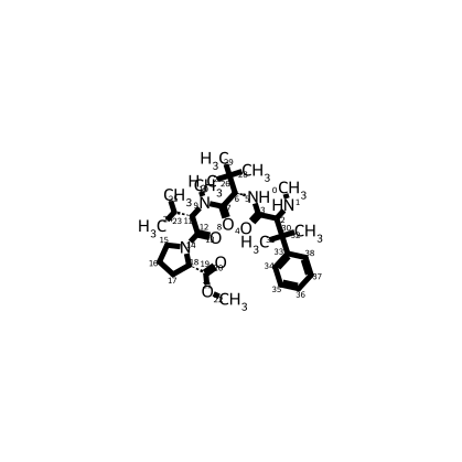 CNC(C(=O)N[C@H](C(=O)N(C)[C@H](C(=O)N1CCC[C@H]1C(=O)OC)C(C)C)C(C)(C)C)C(C)(C)c1ccccc1